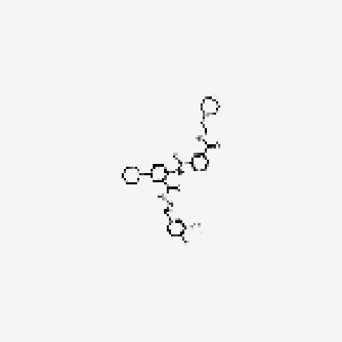 O=C(NCCN1CCOCC1)c1cccc(C(=O)Nc2ccc(N3CCCCC3)cc2C(=O)N/N=C/c2ccc(Cl)c(C(F)(F)F)c2)c1